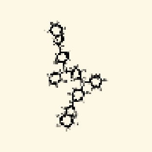 c1cncc(N(c2ccc(-c3cc4ccccc4s3)cc2)c2ccc(N(c3ccc(-c4cc5ccccc5s4)cc3)c3cccnc3)s2)c1